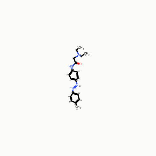 CCN(CC)CC(=O)Nc1ccc(/N=N/c2ccc(C)cc2)cc1